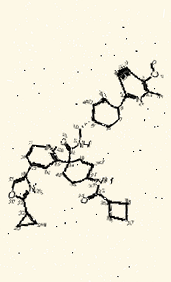 COc1ccc([C@H]2CC[C@H](CNC(=O)C3(c4cc(-c5coc(C6CC6)n5)ccn4)CCC(NC(=O)C4CCC4)CC3)CC2)nc1C